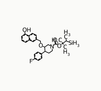 CC([SiH3])C(C)(C)OC(=O)N1CCC(c2ccc(F)cc2)C(OCc2ccc3c(O)cccc3c2)C1